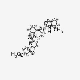 COc1ccn(-c2cccc(C(=O)N3CCc4cc(C(=O)Nc5c(C)cccc5F)sc4-c4ccccc43)n2)c(=O)c1